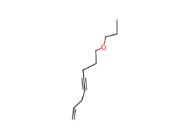 C=CCC#CCCCOCCC